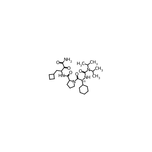 CC(C)N(C(=O)N[C@H](C(=O)N1CCCC1C(=O)NC(CC1CCC1)C(=O)C(N)=O)C1CCCCC1)C(C)C